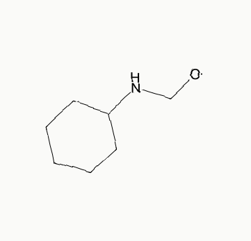 [O]CNC1CCCCC1